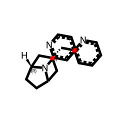 c1ccc(C[C@@H]2CC3CC[C@H](C2)N3c2ccccn2)nc1